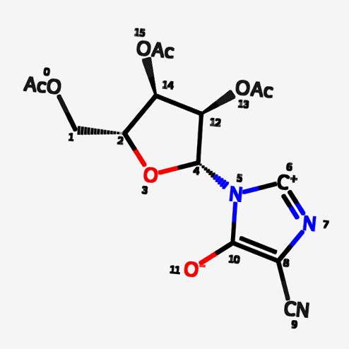 CC(=O)OC[C@H]1O[C@@H](N2[C+]=NC(C#N)=C2[O-])[C@H](OC(C)=O)[C@@H]1OC(C)=O